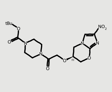 CC(C)(C)OC(=O)N1CCN(C(=O)CO[C@@H]2COc3nc([N+](=O)[O-])cn3C2)CC1